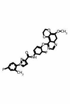 COC1=C2OCCOC2=C2C(OC3=CC=C(NC(=O)c4ccn(-c5ccc(F)cc5C)n4)CC3F)=NC=NC2C1